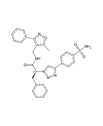 Cc1onc(-c2ccccc2)c1CNC(=O)[C@H](Cc1ccccc1)n1cc(-c2ccc(S(N)(=O)=O)cc2)nn1